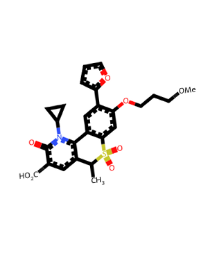 COCCCOc1cc2c(cc1-c1ccco1)-c1c(cc(C(=O)O)c(=O)n1C1CC1)C(C)S2(=O)=O